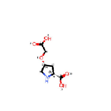 O=C(O)CO[C@H]1CN[C@@H](C(=O)O)C1